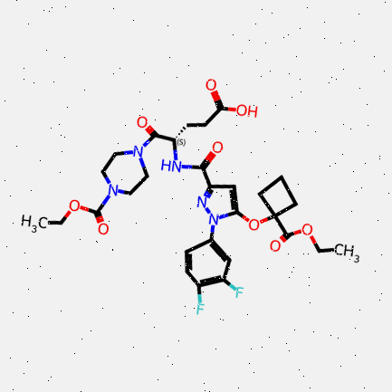 CCOC(=O)N1CCN(C(=O)[C@H](CCC(=O)O)NC(=O)c2cc(OC3(C(=O)OCC)CCC3)n(-c3ccc(F)c(F)c3)n2)CC1